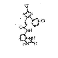 O=C(/C=C/c1sc(C2CC2)nc1-c1cccc(Cl)c1)Nc1cccc2[nH]c(=O)[nH]c12